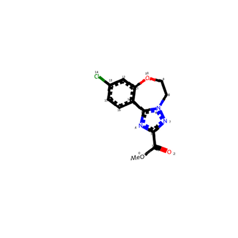 COC(=O)c1nc2n(n1)CCOc1cc(Cl)ccc1-2